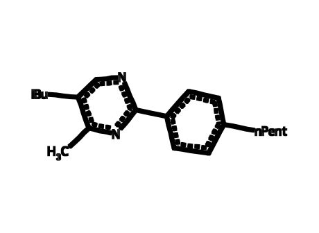 CCCCCc1ccc(-c2ncc(C(C)CC)c(C)n2)cc1